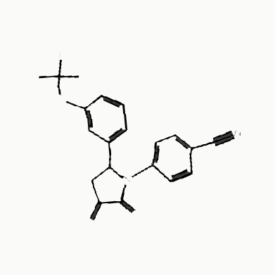 N#Cc1ccc(N2C(=O)C(=O)CC2c2cccc(OC(F)(F)F)c2)cc1